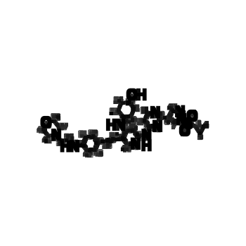 O=S(=O)(C1CC1)n1cc(-c2nccc(Nc3cc(N[C@H]4CC[C@@H](O)CC4)c(C#Cc4ccc(NCCN5CCOCC5)cc4)cn3)n2)cn1